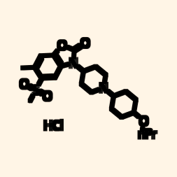 CCCOC1CCC(N2CCC(n3c(=O)oc4cc(C)c(S(C)(=O)=O)cc43)CC2)CC1.Cl